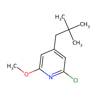 COc1cc(CC(C)(C)C)cc(Cl)n1